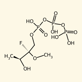 CO[C@](F)(COP(=O)(O)OP(=O)(O)OP(=O)(O)O)[C@H](C)O